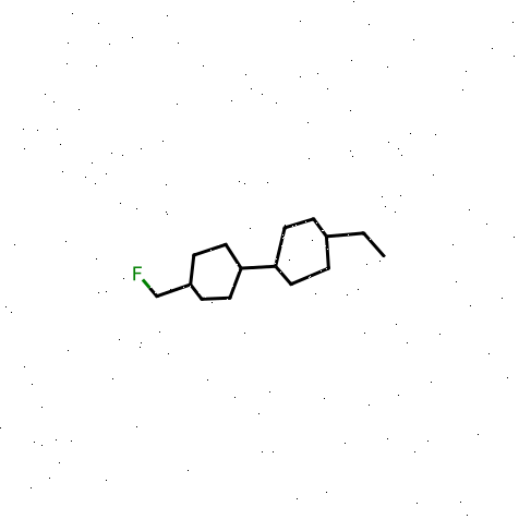 CCC1CCC(C2CCC(CF)CC2)CC1